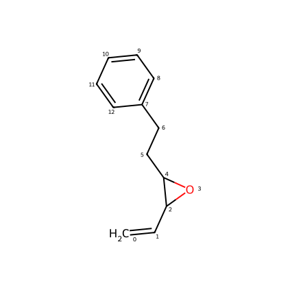 C=CC1OC1CCc1ccccc1